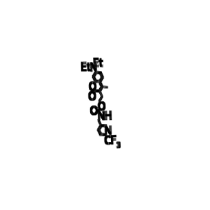 CCN(CC)c1ccc2c(C)c(CCOC(=O)NCc3ccc(C(F)(F)F)nc3)c(=O)oc2c1